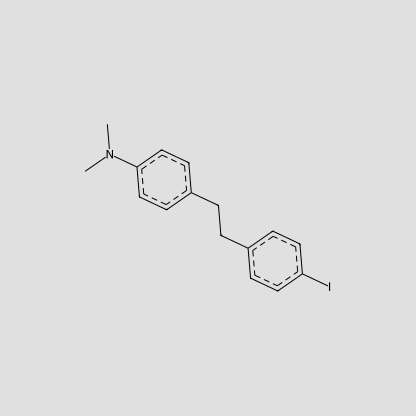 CN(C)c1ccc(CCc2ccc(I)cc2)cc1